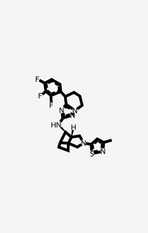 Cc1cc(N2C[C@H]3[C@H](Nc4nc5n(n4)CCCC5c4ccc(F)c(F)c4F)C4CCC43C2)sn1